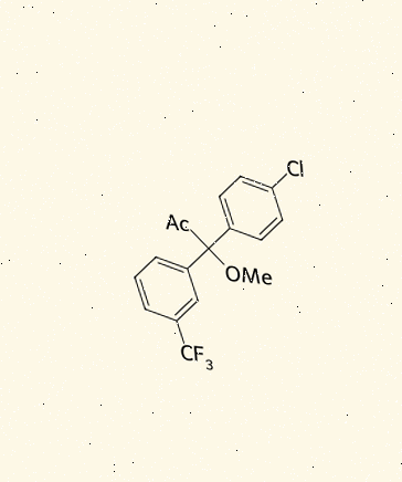 COC(C(C)=O)(c1ccc(Cl)cc1)c1cccc(C(F)(F)F)c1